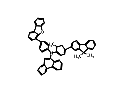 CC1CC(c2ccc3c(c2)C(C)(C)c2ccccc2-3)=CC=C1N(c1ccc(-c2cccc3c2oc2ccccc23)cc1)c1cc2ccccc2c2ccccc12